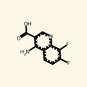 Nc1c(C(=O)O)cnc2c(F)c(F)ccc12